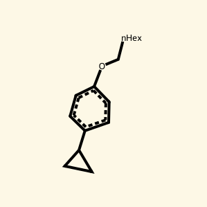 CCCCCCCOc1ccc(C2CC2)cc1